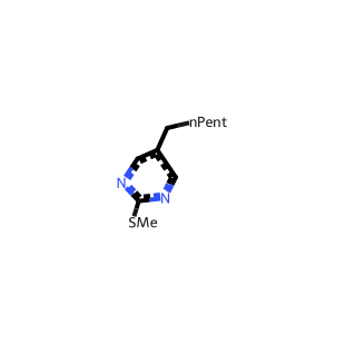 CCCCCCc1cnc(SC)nc1